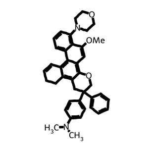 COc1cc2c3c(c4c(c2c2cccc(N5CCOCC5)c12)C=CCC4)CC(c1ccccc1)(c1ccc(N(C)C)cc1)CO3